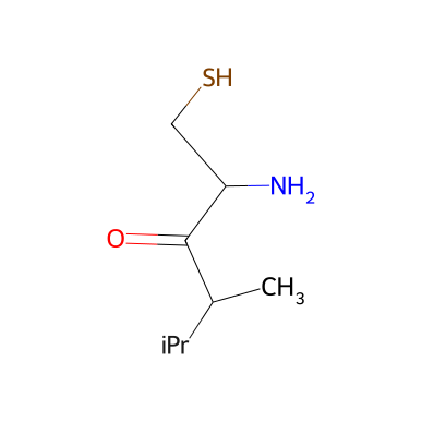 CC(C)C(C)C(=O)C(N)CS